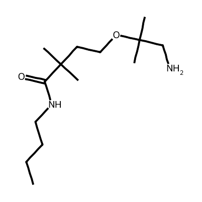 CCCCNC(=O)C(C)(C)CCOC(C)(C)CN